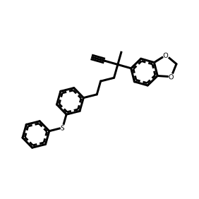 C#CC(C)(CCCc1cccc(Sc2ccccc2)c1)c1ccc2c(c1)OCO2